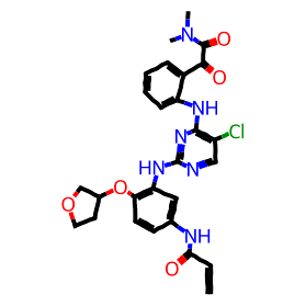 C=CC(=O)Nc1ccc(OC2CCOC2)c(Nc2ncc(Cl)c(Nc3ccccc3C(=O)C(=O)N(C)C)n2)c1